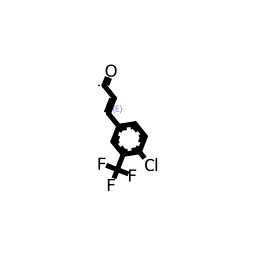 O=[C]/C=C/c1ccc(Cl)c(C(F)(F)F)c1